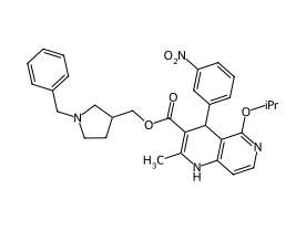 CC1=C(C(=O)OCC2CCN(Cc3ccccc3)C2)C(c2cccc([N+](=O)[O-])c2)c2c(ccnc2OC(C)C)N1